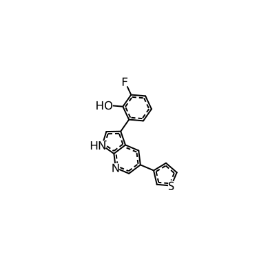 Oc1c(F)cccc1-c1c[nH]c2ncc(-c3ccsc3)cc12